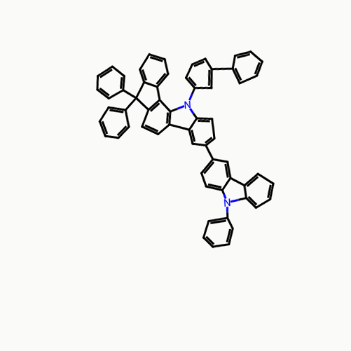 c1ccc(-c2cccc(-n3c4ccc(-c5ccc6c(c5)c5ccccc5n6-c5ccccc5)cc4c4ccc5c(c43)-c3ccccc3C5(c3ccccc3)c3ccccc3)c2)cc1